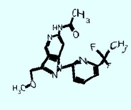 COCc1nn(-c2cccc(C(C)(F)F)n2)c2cc(NC(C)=O)ncc12